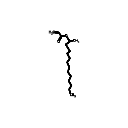 C=CC(=O)OC(C)CCCCCCCCCCCC